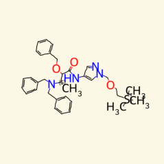 C[C@@H](C(OCc1ccccc1)C(=O)Nc1cnn(COCC[Si](C)(C)C)c1)N(Cc1ccccc1)Cc1ccccc1